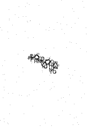 CNC(=O)c1cc(Oc2ccc3c(c2)OCCN3C(=O)Nc2cccc(C(F)(F)F)c2)ncn1